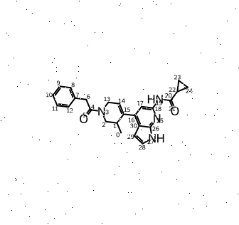 CC1CN(C(=O)Cc2ccccc2)CC=C1c1cc(NC(=O)C2CC2)nc2[nH]ccc12